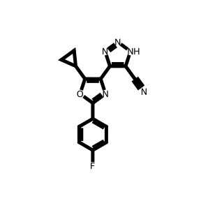 N#Cc1[nH]nnc1-c1nc(-c2ccc(F)cc2)oc1C1CC1